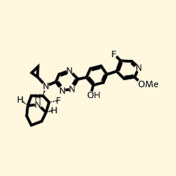 COc1cc(-c2ccc(-c3ncc(N(C4CC4)[C@H]4C[C@@H]5CCC[C@@H](N5)[C@H]4F)nn3)c(O)c2)c(F)cn1